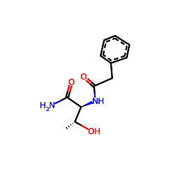 C[C@@H](O)[C@H](NC(=O)Cc1ccccc1)C(N)=O